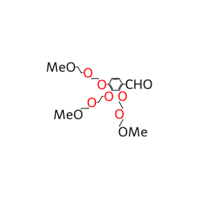 COCCOCCOc1ccc(C=O)c(OCCOCCOC)c1OCCOCCOC